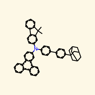 CC1(C)c2ccccc2-c2ccc(N(c3ccc(-c4ccc(C56CC7CC(CC(C7)C5)C6)cc4)cc3)c3ccc4c5ccccc5c5ccccc5c4c3)cc21